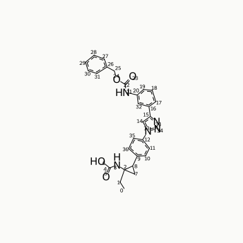 CCC1(NC(=O)O)CC1c1ccc(-n2cc(-c3cccc(NC(=O)OCc4ccccc4)c3)nn2)cc1